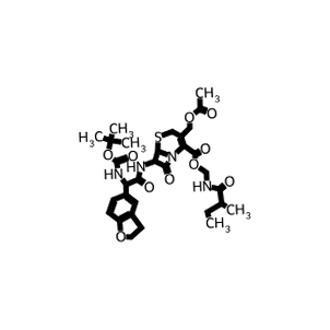 CCC(C)C(=O)NCOC(=O)C1=C(COC(C)=O)CSC2C(NC(=O)C(NC(=O)OC(C)(C)C)c3ccc4c(c3)CCO4)C(=O)N12